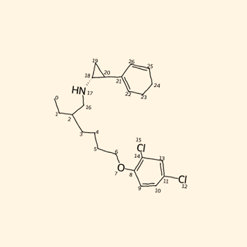 CCC(CCCCOc1ccc(Cl)cc1Cl)CN[C@@H]1CC1C1=CCCC=C1